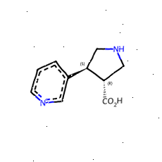 O=C(O)[C@H]1CNC[C@@H]1c1cccnc1